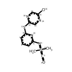 CS(C)(=C=O)=Nc1cccc(Sc2cnc(Cl)cn2)n1